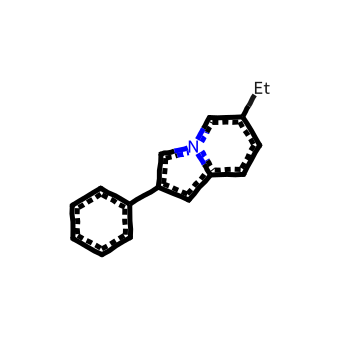 CCc1ccc2cc(-c3ccccc3)cn2c1